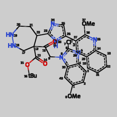 COc1ccc2nc(C(F)(F)F)n(CC(=O)C3(C(=O)OC(C)(C)C)CNNCCC3c3ncc(-c4cc5ccccc5nc4OC)[nH]3)c2c1